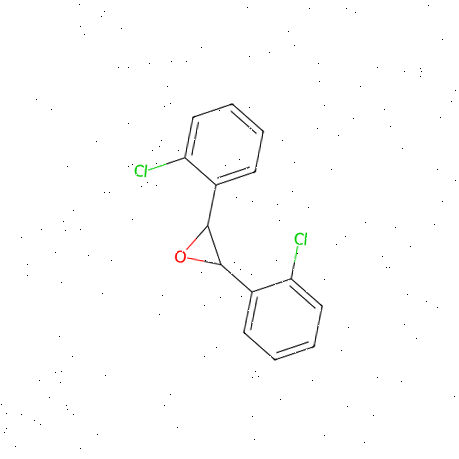 Clc1ccccc1C1OC1c1ccccc1Cl